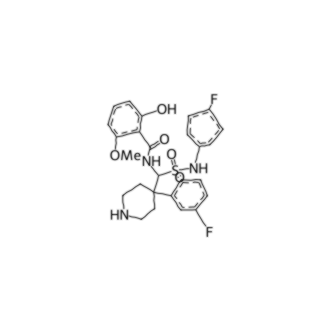 COc1cccc(O)c1C(=O)NC(C1(c2cccc(F)c2)CCNCC1)S(=O)(=O)Nc1ccc(F)cc1